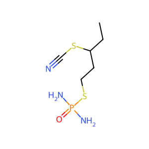 CCC(CCSP(N)(N)=O)SC#N